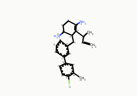 C=CC(C)C1=C(N)CCC(N)C1Cc1cccc(-c2ccc(F)c(C)c2)c1